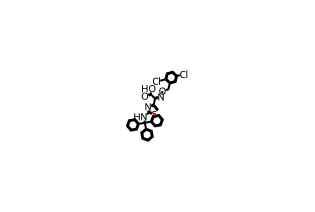 O=C(O)C(=NOCc1cc(Cl)ccc1Cl)c1csc(NC(c2ccccc2)(c2ccccc2)c2ccccc2)n1